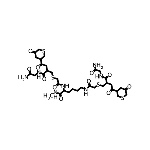 CNC(=O)C(CCCCNC(=O)CSCC(CC(=O)C1CSCC(=O)C1)C(=O)NCC(N)=O)NC(=O)CSCC(CC(=O)C1CSCC(=O)C1)C(=O)NCC(N)=O